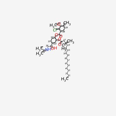 CCCCCCCCCCCCCCC(C)(C)CC(=O)Oc1cc(C(O)CNC(C)C)ccc1OC(=O)c1ccc(C)c(OC)c1Cl